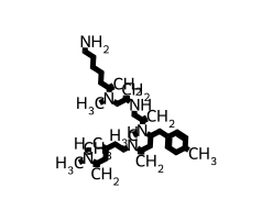 C=C(CC(CC1=CCC(C)C=C1)N(C)C(=C)CNC(=C)CN(C)C(=C)CCCCCN)NCCC(C)CC(=C)N(C)C